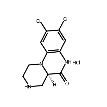 Cl.O=C1Nc2cc(Cl)c(Cl)cc2N2CCNC[C@H]12